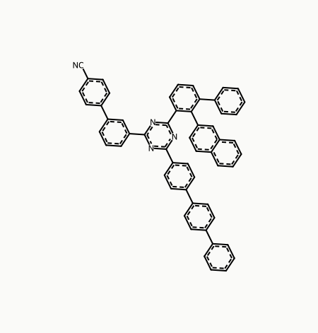 N#Cc1ccc(-c2cccc(-c3nc(-c4ccc(-c5ccc(-c6ccccc6)cc5)cc4)nc(-c4cccc(-c5ccccc5)c4-c4ccc5ccccc5c4)n3)c2)cc1